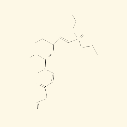 CCOP(=O)(/C=C/C(CC)O[C@H](OC)N(C)/C=C\C(=O)NC=O)OCC